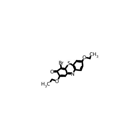 CCOc1ccc2nc3cc(OCC)c(=O)c(Br)c-3sc2c1